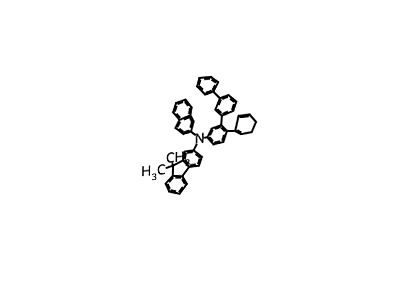 CC1(C)c2ccccc2-c2ccc(N(c3ccc(C4=CCCC=C4)c(-c4cccc(-c5ccccc5)c4)c3)c3ccc4ccccc4c3)cc21